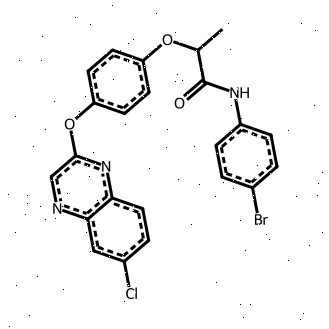 CC(Oc1ccc(Oc2cnc3cc(Cl)ccc3n2)cc1)C(=O)Nc1ccc(Br)cc1